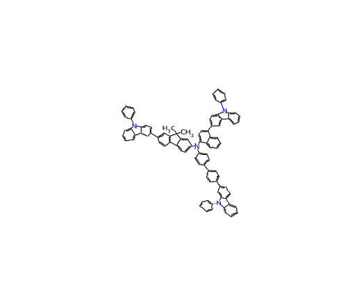 CC1(C)c2cc(-c3ccc4c(c3)c3ccccc3n4-c3ccccc3)ccc2-c2ccc(N(c3ccc(-c4ccc(-c5ccc6c7ccccc7n(-c7ccccc7)c6c5)cc4)cc3)c3ccc(-c4ccc5c(c4)c4ccccc4n5-c4ccccc4)c4ccccc34)cc21